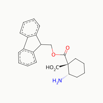 N[C@H]1CCCC[C@@]1(C(=O)O)C(=O)OCC1c2ccccc2-c2ccccc21